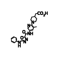 Cc1cc(NC(=O)c2nnc(Nc3ccccc3)o2)cnc1N1CCC(CC(=O)O)CC1